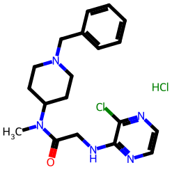 CN(C(=O)CNc1nccnc1Cl)C1CCN(Cc2ccccc2)CC1.Cl